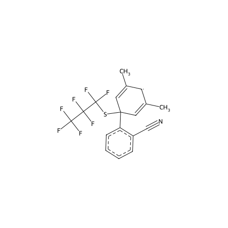 CC1=CC(SC(F)(F)C(F)(F)C(F)(F)F)(c2ccccc2C#N)C=C(C)[CH]1